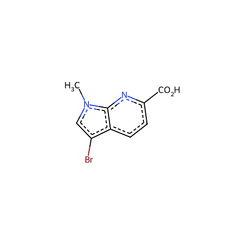 Cn1cc(Br)c2ccc(C(=O)O)nc21